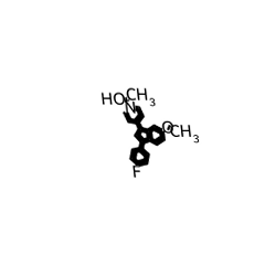 COc1ccc2c(c1)C(C1=CCN(C(C)O)CC1)C=C2c1ccc(F)cc1